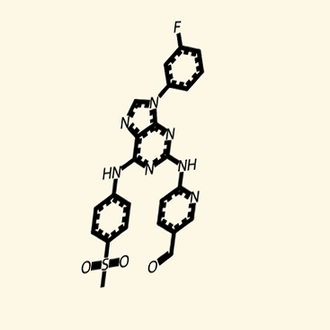 CS(=O)(=O)c1ccc(Nc2nc(Nc3ccc(C=O)cn3)nc3c2ncn3-c2cccc(F)c2)cc1